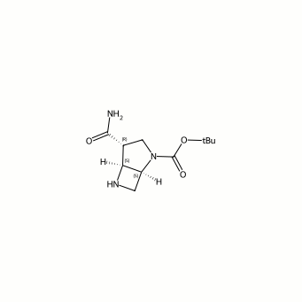 CC(C)(C)OC(=O)N1C[C@@H](C(N)=O)[C@@H]2NC[C@@H]21